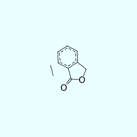 CC.O=C1OCc2ccccc21